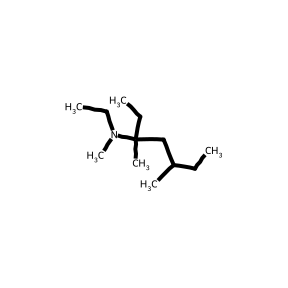 CCC(C)CC(C)(CC)N(C)CC